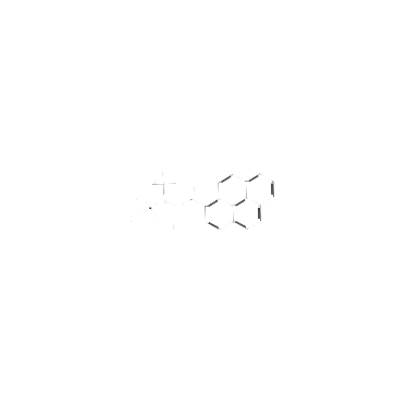 CC(C)(C)[Si](OCc1ccc2ccc3cccc4ccc1c2c34)C(C)(C)C